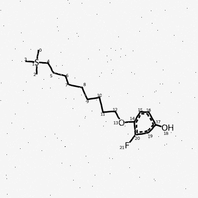 CS(C)(C)CCCCCCCCCOc1ccc(O)cc1F